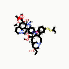 CC[C@]1(O)C[C@H]2CN(CCc3c([nH]c4ccc(SSC(C)C)cc34)[C@@](C(=O)OC)(c3cc4c(cc3OC)N(C)[C@H]3[C@@](O)(C(=O)OC)[C@H](OC(C)=O)[C@]5(CC)C=CCN6CC[C@]43[C@@H]65)C2)C1